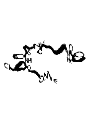 COCCOc1ccc(Cl)cc1NC(=O)c1ccc(NC(=O)CCCCCNC(=O)c2occc2Br)s1